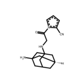 N#Cc1cccn1C(=O)CNC12CC3C[C@@H](CC(N)(C3)C1)C2